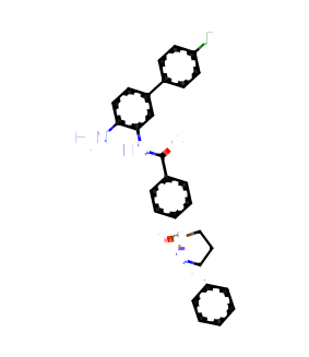 Nc1ccc(-c2ccc(F)cc2)cc1NC(=O)c1ccc([S@]2(=O)=N[C@@H](c3ccccc3)CC2)cc1